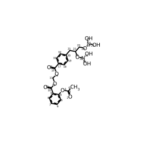 CC(=O)Oc1ccccc1C(=O)OCOC(=O)c1ccc(CC(CON(O)O)ON(O)O)cc1